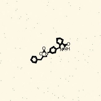 O=C1OC(Cc2ccccc2)CN1c1ccc(-c2n[nH]c(=O)c3ccccc23)cc1